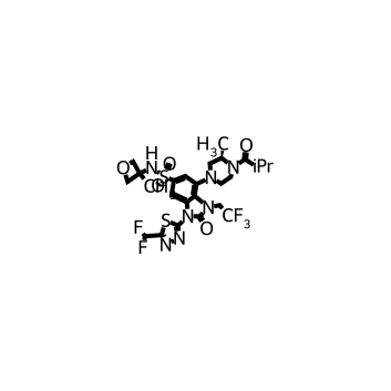 CC(C)C(=O)N1CCN(c2cc(S(=O)(=O)NC3(C)COC3)cc3c2n(CC(F)(F)F)c(=O)n3-c2nnc(C(F)F)s2)C[C@H]1C